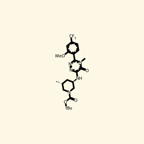 COc1cc(C(F)(F)F)ccc1-c1nnc(N[C@@H]2C[C@@H](C)CN(C(=O)OC(C)(C)C)C2)c(=O)n1C